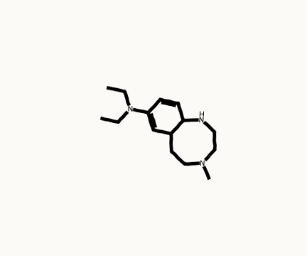 CCN(CC)C1=CC2CCN(C)CCNC2C=C1